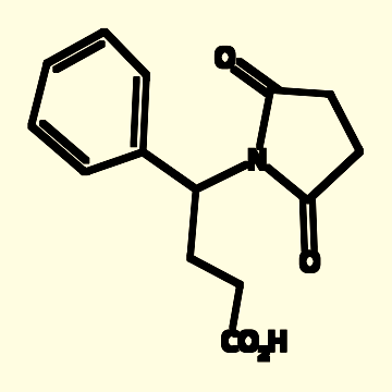 O=C(O)CCC(c1ccccc1)N1C(=O)CCC1=O